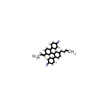 C=CCCC1CCC(C2CCC(I)CC2)C(C2CC(/C=C/C)CCC2C2CCC(I)CC2)C1